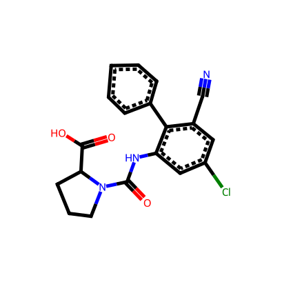 N#Cc1cc(Cl)cc(NC(=O)N2CCCC2C(=O)O)c1-c1ccccc1